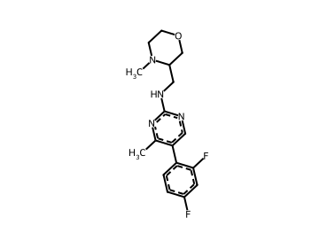 Cc1nc(NCC2COCCN2C)ncc1-c1ccc(F)cc1F